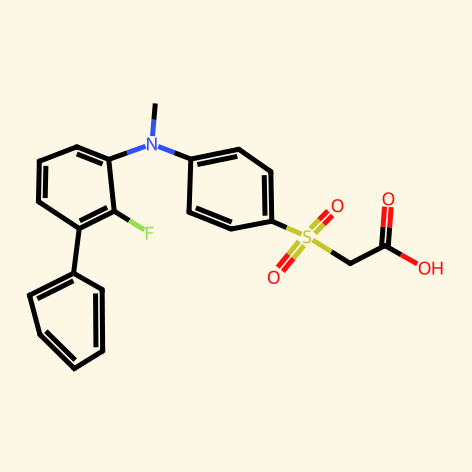 CN(c1ccc(S(=O)(=O)CC(=O)O)cc1)c1cccc(-c2ccccc2)c1F